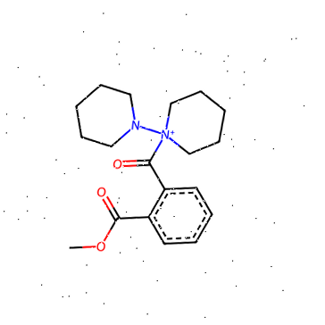 COC(=O)c1ccccc1C(=O)[N+]1(N2CCCCC2)CCCCC1